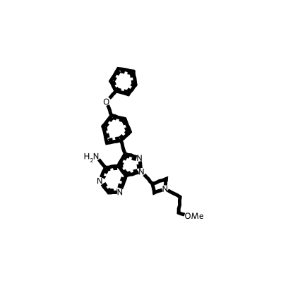 COCCN1CC(n2nc(-c3ccc(Oc4ccccc4)cc3)c3c(N)ncnc32)C1